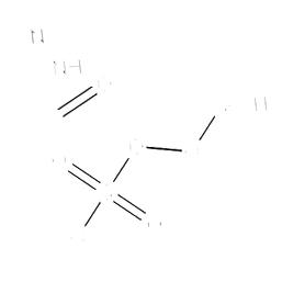 C=O.N.O=S(=O)([O-])OOS(=O)(=O)O.[Na+]